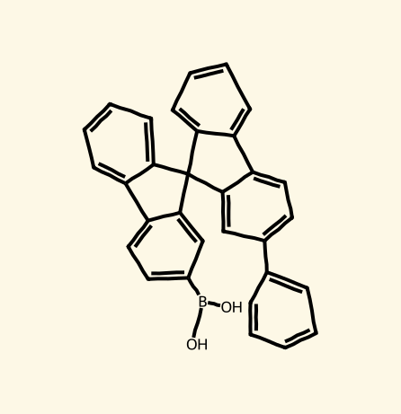 OB(O)c1ccc2c(c1)C1(c3ccccc3-2)c2ccccc2-c2ccc(-c3ccccc3)cc21